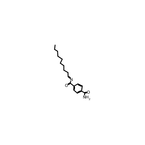 CCCCCCCCCC=NC(=O)c1ccc(C(N)=O)cc1